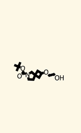 CC(C)(C)OC(=O)N1CCC2(CC(OCCO)C2)C1